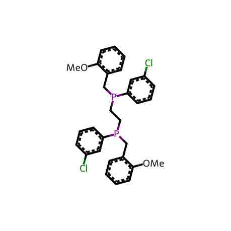 COc1ccccc1CP(CCP(Cc1ccccc1OC)c1cccc(Cl)c1)c1cccc(Cl)c1